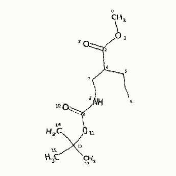 COC(=O)C(CI)CNC(=O)OC(C)(C)C